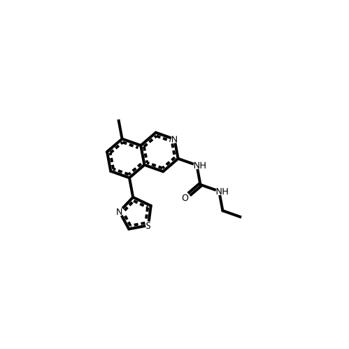 CCNC(=O)Nc1cc2c(-c3cscn3)ccc(C)c2cn1